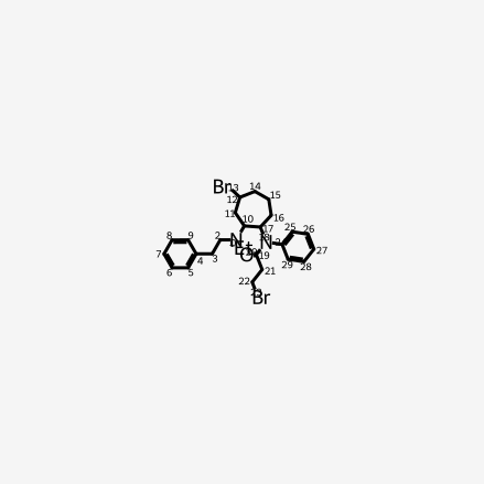 CCN(CCc1ccccc1)C1CC(Br)CCCC1N(C(=O)CCBr)c1ccccc1